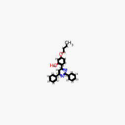 CCCCOc1ccc(-c2cc(-c3ccccc3)nc(-c3ccccc3)n2)c(O)c1